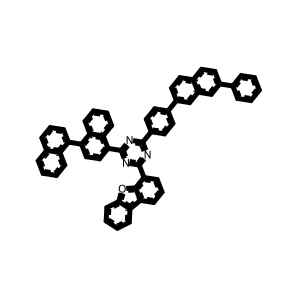 c1ccc(-c2ccc3ccc(-c4ccc(-c5nc(-c6ccc(-c7cccc8ccccc78)c7ccccc67)nc(-c6cccc7c6oc6ccccc67)n5)cc4)cc3c2)cc1